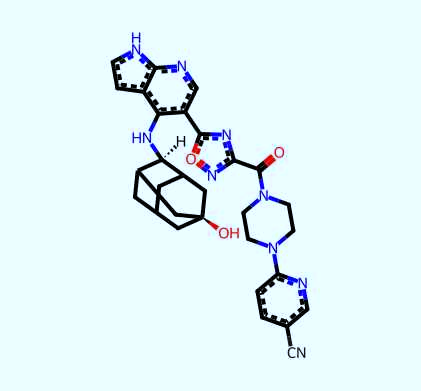 N#Cc1ccc(N2CCN(C(=O)c3noc(-c4cnc5[nH]ccc5c4N[C@H]4C5CC6CC4C[C@@](O)(C6)C5)n3)CC2)nc1